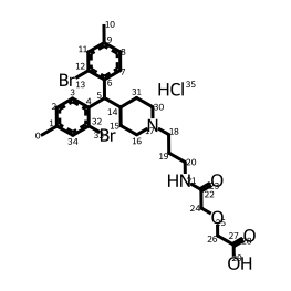 Cc1ccc(C(c2ccc(C)cc2Br)C2CCN(CCCNC(=O)COCC(=O)O)CC2)c(Br)c1.Cl